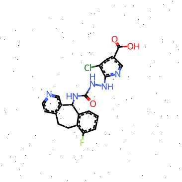 O=C(NNc1ncc(C(=O)O)cc1Cl)NC1c2cnccc2CCc2c(F)cccc21